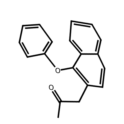 CC(=O)Cc1ccc2ccccc2c1Oc1ccccc1